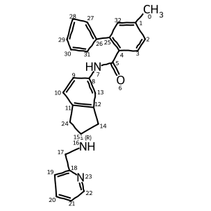 Cc1ccc(C(=O)Nc2ccc3c(c2)C[C@H](NCc2ccccn2)C3)c(-c2ccccc2)c1